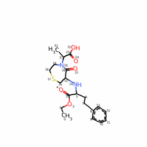 CCOC(=O)C(CCc1ccccc1)NC1CSCCN(C(C)C(=O)O)C1=O